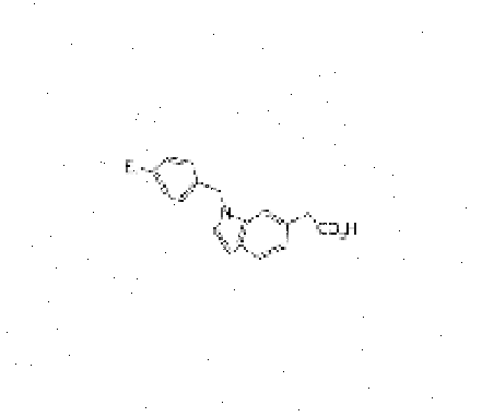 CCc1ccc(Cn2ccc3ccc(CC(=O)O)cc32)cc1